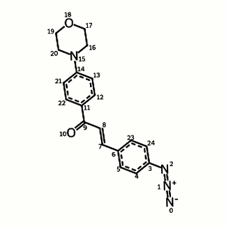 [N-]=[N+]=Nc1ccc(/C=C/C(=O)c2ccc(N3CCOCC3)cc2)cc1